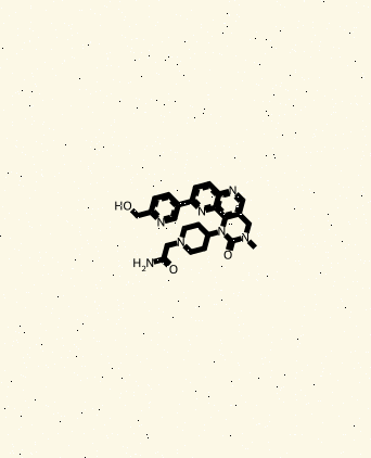 CN1Cc2cnc3ccc(-c4ccc(CO)nc4)nc3c2N(C2CCN(CC(N)=O)CC2)C1=O